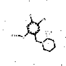 CCCCCOc1cc(C)c(C(C)(C)C)cc1CN1CCCC[C@H]1C(=O)O